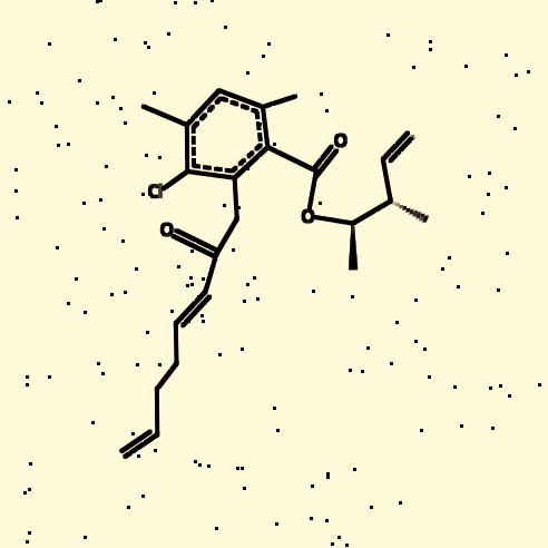 C=CCC/C=C/C(=O)Cc1c(Cl)c(C)cc(C)c1C(=O)O[C@H](C)[C@@H](C)C=C